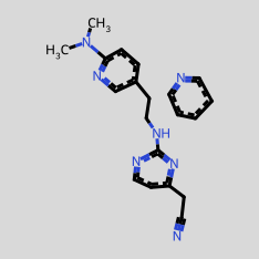 CN(C)c1ccc(CCNc2nccc(CC#N)n2)cn1.c1ccncc1